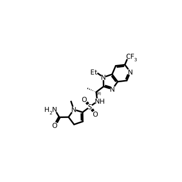 CCn1c([C@@H](C)NS(=O)(=O)C2=CCC(C(N)=O)N2C)nc2cnc(C(F)(F)F)cc21